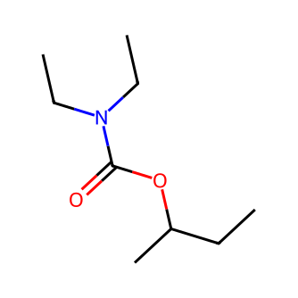 CCC(C)OC(=O)N(CC)CC